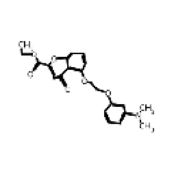 CCOC(=O)c1cc(=O)c2c(OCCOc3cccc(N(C)C)c3)cccc2o1